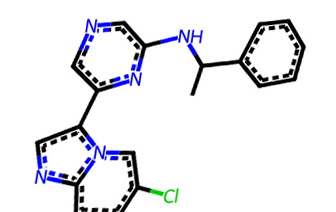 CC(Nc1cncc(-c2cnc3ccc(Cl)cn23)n1)c1ccccc1